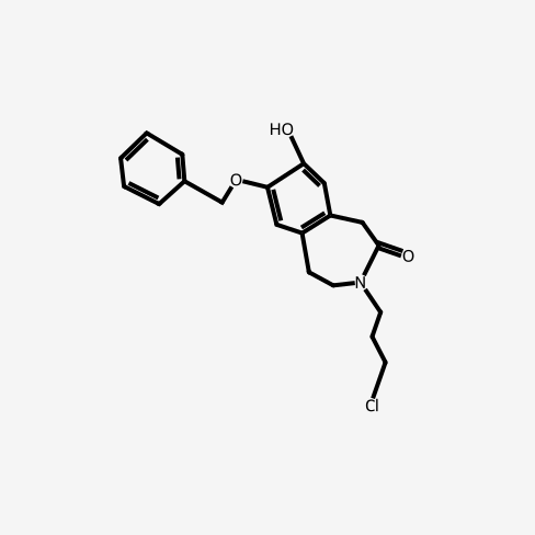 O=C1Cc2cc(O)c(OCc3ccccc3)cc2CCN1CCCCl